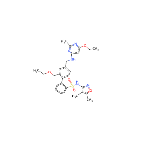 CCOCc1cc(CNc2cc(OCC)nc(C)n2)ccc1-c1ccccc1S(=O)(=O)Nc1noc(C)c1C